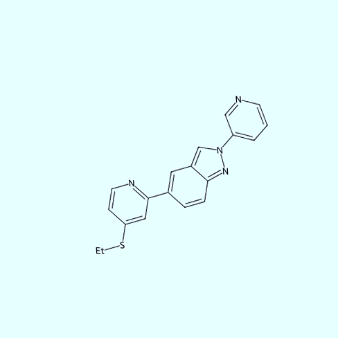 CCSc1ccnc(-c2ccc3nn(-c4cccnc4)cc3c2)c1